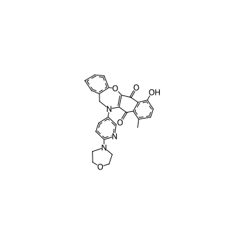 Cc1ccc(O)c2c1C(=O)C1=C(Oc3ccccc3CN1c1ccc(N3CCOCC3)nc1)C2=O